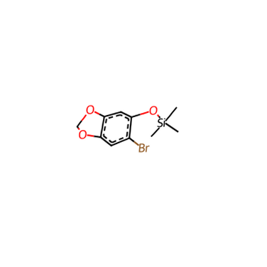 C[Si](C)(C)Oc1cc2c(cc1Br)OCO2